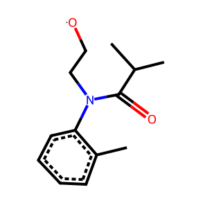 Cc1ccccc1N(CC[O])C(=O)C(C)C